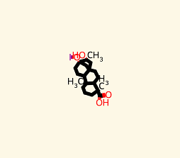 CC1(C(=O)O)CCCC2(C)C3CCC4(OI)CC3(CCC12)CC4(C)O